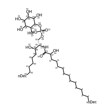 CCCCCCCCCCCCCCCCCCCCCCC(O)C(=O)N[C@@H](COP(=O)(O)OC1C(O)C(O)C(O)[C@@H](O)C1O)[C@H](O)CCCCCCCCCCCCCCC